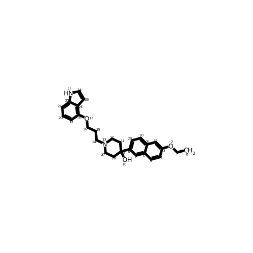 CCOc1ccc2cc(C3(O)CCN(CCCOc4cccc5[nH]ccc45)CC3)ccc2c1